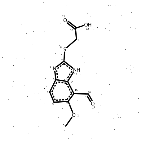 COc1ccc2nc(SCC(=O)O)[nH]c2c1C=O